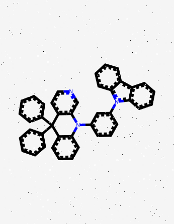 c1ccc(C2(c3ccccc3)c3ccccc3N(c3cccc(-n4c5ccccc5c5ccccc54)c3)c3cnccc32)cc1